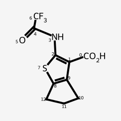 O=C(O)c1c(NC(=O)C(F)(F)F)sc2c1CCC2